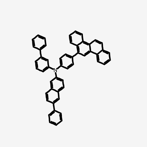 c1ccc(-c2cccc(N(c3ccc(-c4cc5c6ccccc6ccc5c5ccccc45)cc3)c3ccc4cc(-c5ccccc5)ccc4c3)c2)cc1